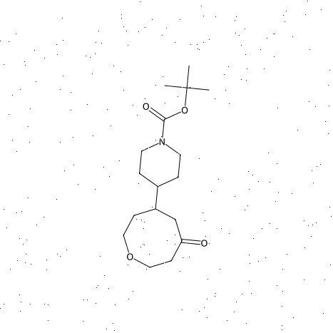 CC(C)(C)OC(=O)N1CCC(C2CCOCCC(=O)C2)CC1